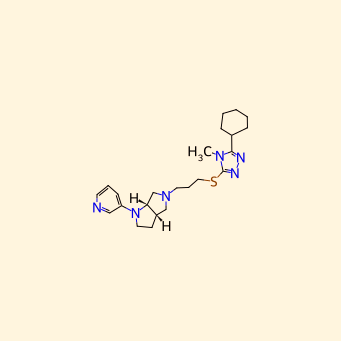 Cn1c(SCCCN2C[C@@H]3CCN(c4cccnc4)[C@@H]3C2)nnc1C1CCCCC1